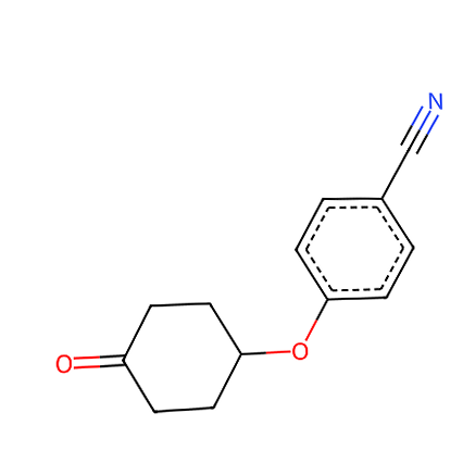 N#Cc1ccc(OC2CCC(=O)CC2)cc1